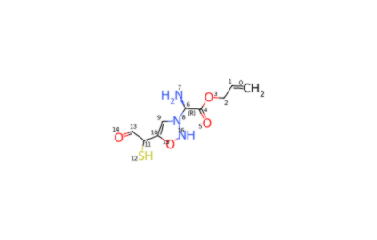 C=CCOC(=O)[C@H](N)N1C=C([C](S)C=O)ON1